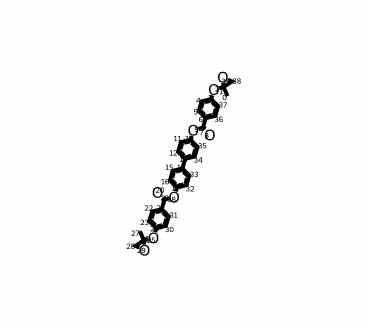 CC1(Oc2ccc(C(=O)Oc3ccc(-c4ccc(OC(=O)c5ccc(OC6(C)CO6)cc5)cc4)cc3)cc2)CO1